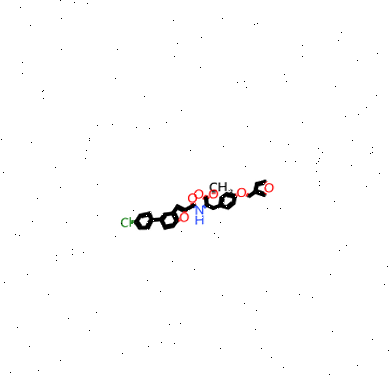 COC(=O)C(Cc1ccc(OCc2ccoc2)cc1)NC(=O)c1cc2cc(-c3ccc(Cl)cc3)ccc2o1